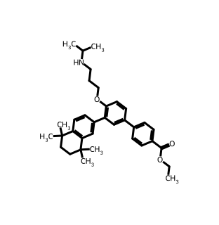 CCOC(=O)c1ccc(-c2ccc(OCCCNC(C)C)c(-c3ccc4c(c3)C(C)(C)CCC4(C)C)c2)cc1